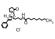 CCCCCCCCC(=O)NCCC[N+](C)(C=Cc1ccccc1)CN1CCCC1=O.[Cl-]